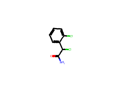 NC(=O)C(Cl)c1ccccc1Cl